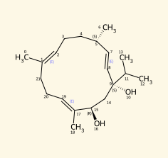 C/C1=C\CC[C@H](C)/C=C/[C@@](O)(C(C)C)C[C@@H](O)/C(C)=C/CC1